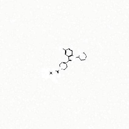 CC(C)(C)OC(=O)N1CC=C(c2nn(C3CCCCO3)c3ccc(Cl)cc23)CC1